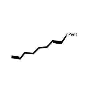 C=CCCCCC=CCCCCC